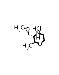 COC[C@@H]1NCCO[C@H]1C.Cl